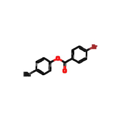 CCC(C)c1ccc(OC(=O)c2ccc(Br)cc2)cc1